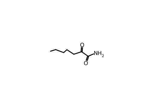 CCCCCC(=O)C(N)=O